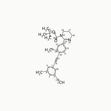 C#Cc1cc(C)cc(C#Cc2ccc(C3=NCCCN3C(=O)OC(C)(C)C)cc2C)c1